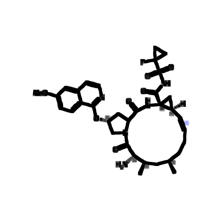 COc1ccc2c(O[C@@H]3CC4C(=O)N[C@]5(C(=O)NS(=O)(=O)C6(F)CC6)C[C@H]5/C=C\CC[C@@H](C)C[C@@H](C)[C@H](N)C(=O)N4C3)nccc2c1